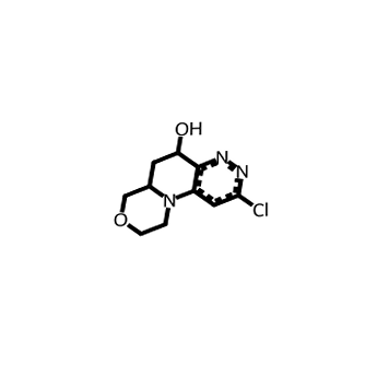 OC1CC2COCCN2c2cc(Cl)nnc21